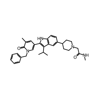 CNC(=O)CN1CCC(c2ccc3[nH]c(-c4cc(C)c(=O)n(Cc5ccccc5)c4)c(C(C)C)c3c2)CC1